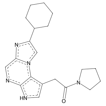 O=C(Cc1c[nH]c2ncc3nc(C4CCCCC4)cn3c12)N1CCCC1